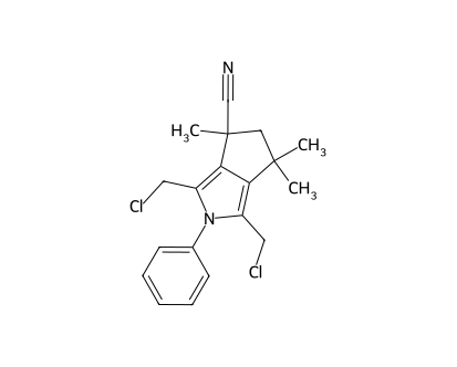 CC1(C)CC(C)(C#N)c2c1c(CCl)n(-c1ccccc1)c2CCl